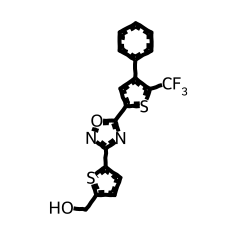 OCc1ccc(-c2noc(-c3cc(-c4ccccc4)c(C(F)(F)F)s3)n2)s1